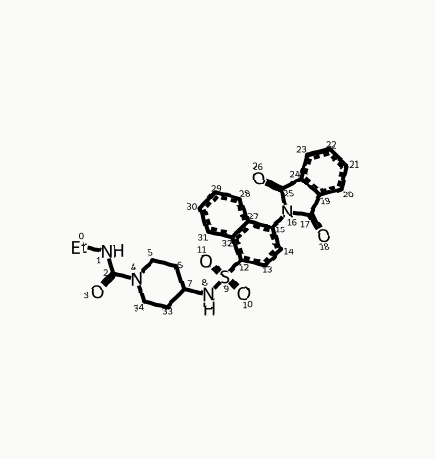 CCNC(=O)N1CCC(NS(=O)(=O)c2ccc(N3C(=O)c4ccccc4C3=O)c3ccccc23)CC1